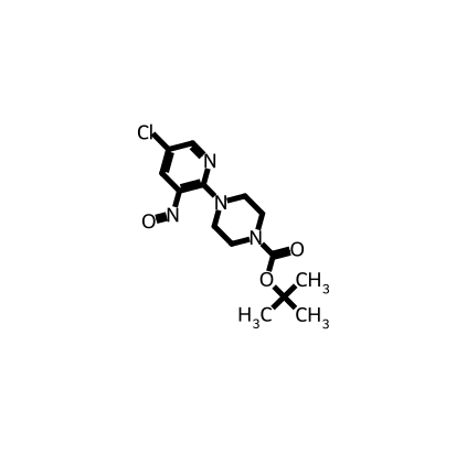 CC(C)(C)OC(=O)N1CCN(c2ncc(Cl)cc2N=O)CC1